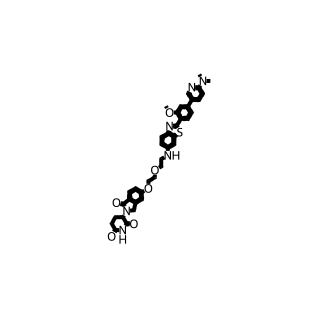 COc1cc(-c2ccc(N(C)C)nc2)ccc1-c1nc2ccc(NCCOCCOc3ccc4c(c3)CN(C3CCC(=O)NC3=O)C4=O)cc2s1